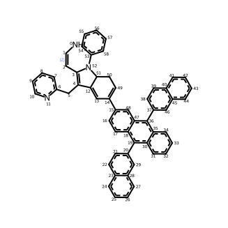 N/C=C\C1=C(Cc2ccccn2)C2=CC(c3ccc4c(-c5ccc6ccccc6c5)c5ccccc5c(-c5ccc6ccccc6c5)c4c3)=CCC2N1c1ccccc1